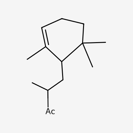 CC(=O)C(C)CC1C(C)=CCCC1(C)C